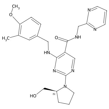 COc1ccc(CNc2nc(N3CCC[C@H]3CO)ncc2C(=O)NCc2ncccn2)cc1C